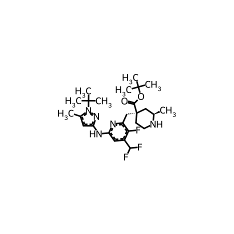 Cc1cc(Nc2cc(C(F)F)c(F)c(C[C@@]3(C(=O)OC(C)(C)C)CCN[C@H](C)C3)n2)nn1C(C)(C)C